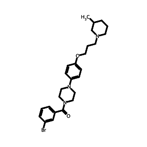 CC1CCCN(CCCOc2ccc(N3CCN(C(=O)c4cccc(Br)c4)CC3)cc2)C1